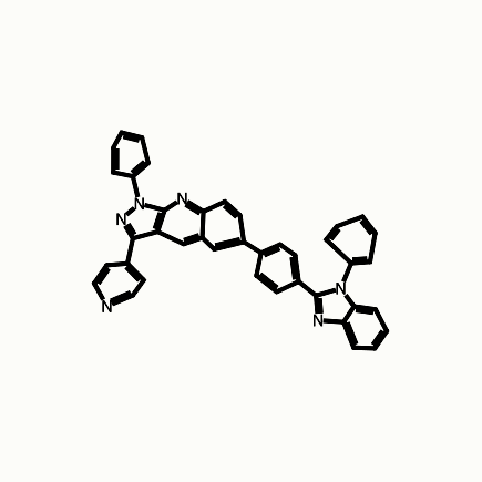 c1ccc(-n2nc(-c3ccncc3)c3cc4cc(-c5ccc(-c6nc7ccccc7n6-c6ccccc6)cc5)ccc4nc32)cc1